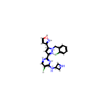 Fc1ccccc1Cn1nc(-c2ncc(F)c(NC3CNC3)n2)cc1-c1ccon1